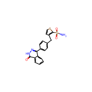 NS(=O)(=O)c1sccc1Cc1ccc(-c2n[nH]c(=O)c3ccccc23)cc1